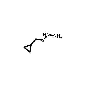 NNSCC1CC1